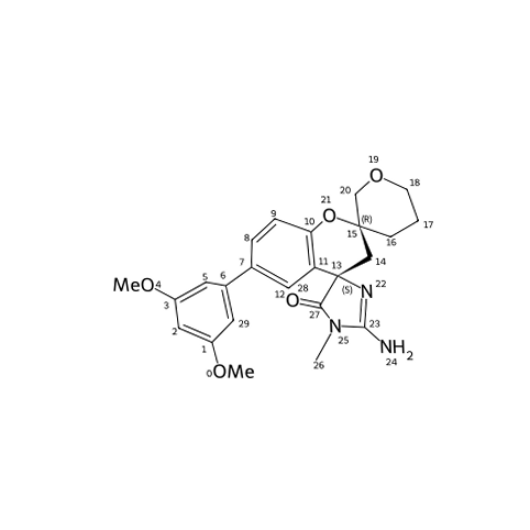 COc1cc(OC)cc(-c2ccc3c(c2)[C@]2(C[C@@]4(CCCOC4)O3)N=C(N)N(C)C2=O)c1